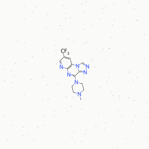 CN1CCN(c2nc3ncc(C(F)(F)F)cc3n3cnnc23)CC1